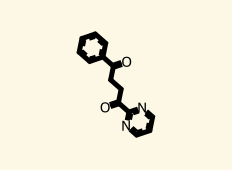 O=C(CCC(=O)c1ncccn1)c1ccccc1